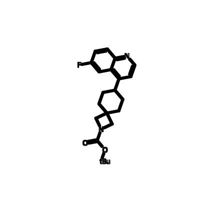 CC(C)(C)OC(=O)N1CC2(CCC(c3ccnc4ccc(F)cc34)CC2)C1